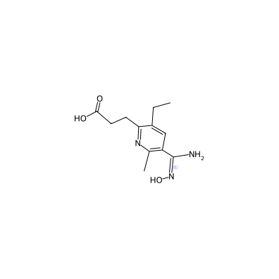 CCc1cc(/C(N)=N\O)c(C)nc1CCC(=O)O